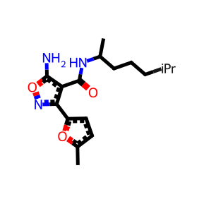 Cc1ccc(-c2noc(N)c2C(=O)NC(C)CCCC(C)C)o1